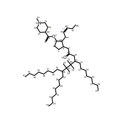 C=C(OC1CCC(CC(=O)CC(CCCCCCCC)C(C)(C)C(C)(C)C(CCCCCCCC)CCCCCCCC)C1C/C=C\CC)C1CCN(C)CC1